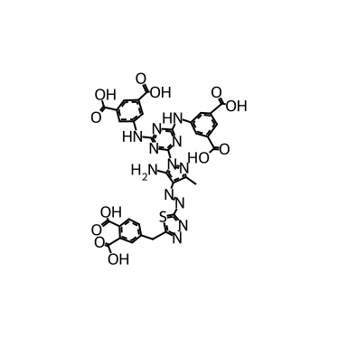 Cc1nn(-c2nc(Nc3cc(C(=O)O)cc(C(=O)O)c3)nc(Nc3cc(C(=O)O)cc(C(=O)O)c3)n2)c(N)c1/N=N/c1nnc(Cc2ccc(C(=O)O)c(C(=O)O)c2)s1